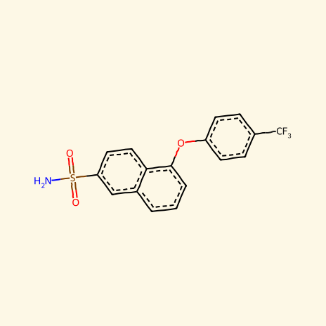 NS(=O)(=O)c1ccc2c(Oc3ccc(C(F)(F)F)cc3)cccc2c1